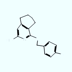 Oc1cc2c(c(SCc3ccc(Br)cc3)n1)CCCC2